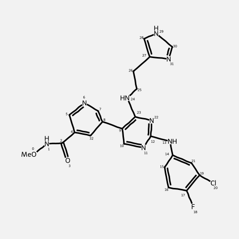 CONC(=O)c1cncc(-c2cnc(Nc3ccc(F)c(Cl)c3)nc2NCCc2c[nH]cn2)c1